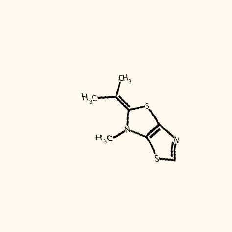 CC(C)=C1Sc2ncsc2N1C